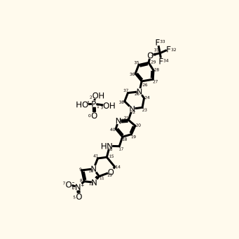 O=P(O)(O)O.O=[N+]([O-])c1cn2c(n1)OCC(NCc1ccc(N3CCN(c4ccc(OC(F)(F)F)cc4)CC3)nc1)C2